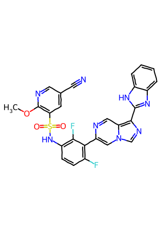 COc1ncc(C#N)cc1S(=O)(=O)Nc1ccc(F)c(-c2cn3cnc(-c4nc5ccccc5[nH]4)c3cn2)c1F